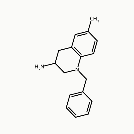 Cc1ccc2c(c1)CC(N)CN2Cc1ccccc1